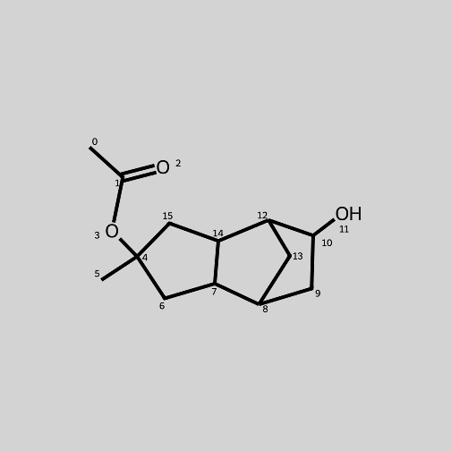 CC(=O)OC1(C)CC2C3CC(O)C(C3)C2C1